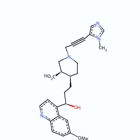 COc1ccc2nccc([C@H](O)CC[C@@H]3CCN(CC#Cc4cncn4C)C[C@@H]3C(=O)O)c2c1